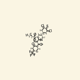 CCS(=O)(=O)c1cc(-c2cc(Cl)c(F)c(Cl)c2)cnc1-c1coc2cc(C(F)(F)F)ccc2c1=O